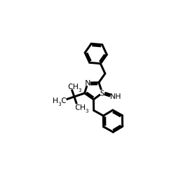 CC(C)(C)C1=C(Cc2ccccc2)S(=N)C(Cc2ccccc2)=N1